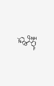 Cc1ccc2c(n1)CO/C2=C1/C(=O)Nc2ccc(F)cc21